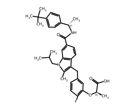 Cc1c(Cc2ccc(F)c(O[C@H](C)C(=O)O)c2)c2ccc(C(=O)N[C@@H](C)c3ccc(C(C)(C)C)cc3)cc2n1CC(C)C